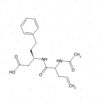 C=CCC(NC(C)=O)C(=O)N[C@H](CCc1ccccc1)CC(=O)O